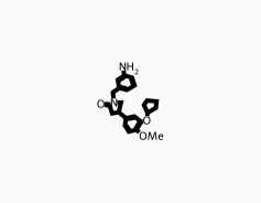 COc1ccc(C2CC(=O)N(Cc3cccc(N)c3)C2)cc1OC1CCCC1